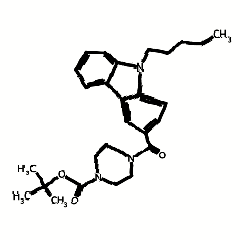 CCCCCn1c2ccccc2c2cc(C(=O)N3CCN(C(=O)OC(C)(C)C)CC3)ccc21